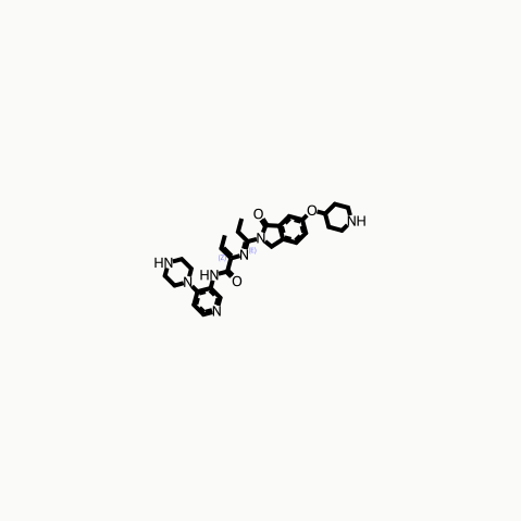 C/C=C(\N=C(/CC)N1Cc2ccc(OC3CCNCC3)cc2C1=O)C(=O)Nc1cnccc1N1CCNCC1